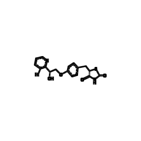 CCc1cccnc1C(O)COc1ccc(CC2SC(=O)NC2=O)cc1